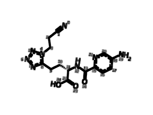 N#CCCn1nnnc1CC[C@H](NC(=O)c1ccc(N)cn1)C(=O)O